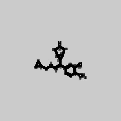 Cc1ccc(C(=NOCC2CC2)C2C3CNCC32)cc1Cl